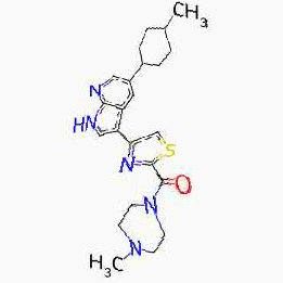 CC1CCC(c2cnc3[nH]cc(-c4csc(C(=O)N5CCN(C)CC5)n4)c3c2)CC1